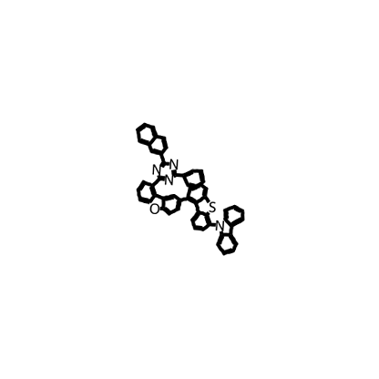 c1ccc(-c2nc(-c3ccc4ccccc4c3)nc(-c3cccc4oc5ccc(-c6cccc7sc8c(-n9c%10ccccc%10c%10ccccc%109)cccc8c67)cc5c34)n2)cc1